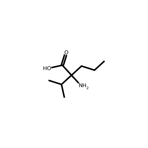 CCCC(N)(C(=O)O)C(C)C